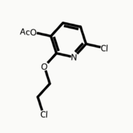 CC(=O)Oc1ccc(Cl)nc1OCCCl